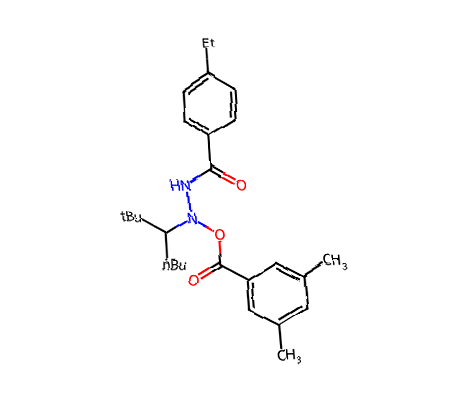 CCCCC(N(NC(=O)c1ccc(CC)cc1)OC(=O)c1cc(C)cc(C)c1)C(C)(C)C